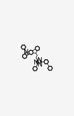 c1ccc(-c2cccc(-c3nc(CCC4c5ccccc5-c5cc6c(cc54)c4ccccc4n6-c4ccccc4)nc(-c4ccccc4)n3)c2)cc1